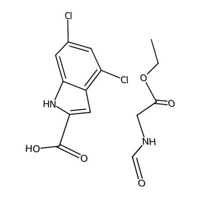 CCOC(=O)CNC=O.O=C(O)c1cc2c(Cl)cc(Cl)cc2[nH]1